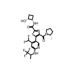 CC(Nc1cc(C(F)F)c(-c2sc(C(=O)N[C@H]3CC[C@H]3O)nc2C(=O)N2CCC[C@@H]2C)cn1)C(F)(F)F